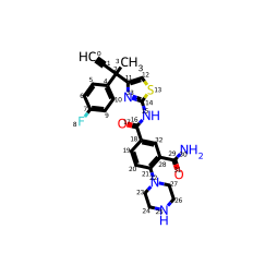 C#CC(C)(c1ccc(F)cc1)c1csc(NC(=O)c2ccc(N3CCNCC3)c(C(N)=O)c2)n1